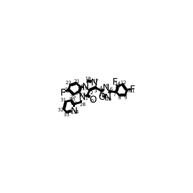 O=c1c2c(-c3nc(-c4ccc(F)cc4F)no3)ncn2c2ccc(F)cc2n1Cc1ccccn1